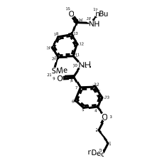 CCCCCCCCCCCCOc1ccc(C(=O)Nc2cc(C(=O)NCCCC)ccc2SC)cc1